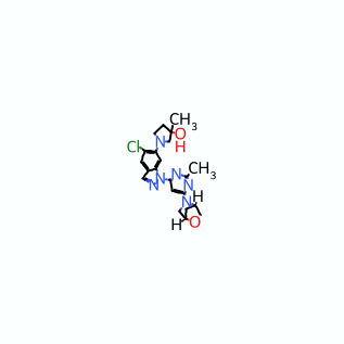 Cc1nc(N2C[C@@H]3C[C@H]2CO3)cc(-n2ncc3cc(Cl)c(N4CCC(C)(O)C4)cc32)n1